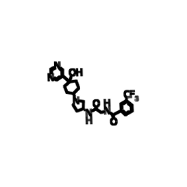 O=C(CNC(=O)c1cccc(C(F)(F)F)c1)N[C@@H]1CCN(C2CCC(O)(c3cncnc3)CC2)C1